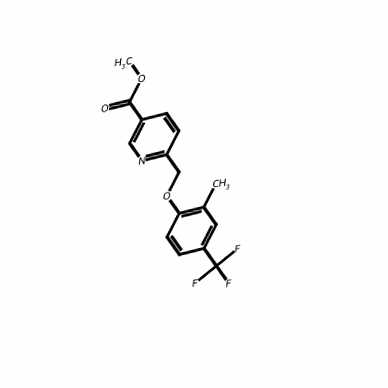 COC(=O)c1ccc(COc2ccc(C(F)(F)F)cc2C)nc1